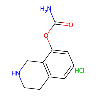 Cl.NC(=O)Oc1cccc2c1CNCC2